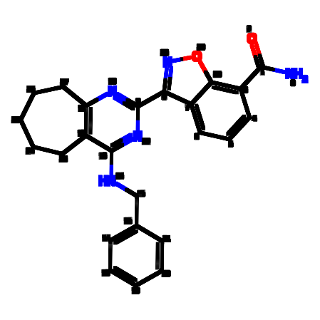 NC(=O)c1cccc2c(-c3nc4c(c(NCc5ccccc5)n3)CCCCC4)noc12